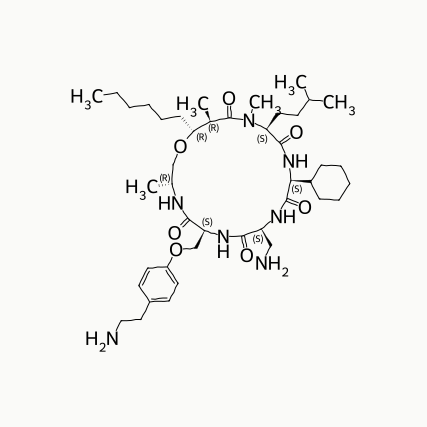 CCCCCC[C@H]1OC[C@@H](C)NC(=O)[C@H](COc2ccc(CCN)cc2)NC(=O)[C@H](CN)NC(=O)[C@H](C2CCCCC2)NC(=O)[C@H](CCC(C)C)N(C)C(=O)[C@@H]1C